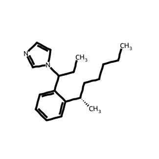 CCCCC[C@H](C)c1ccccc1C(CC)n1ccnc1